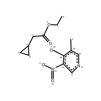 CCOC(=O)CC1CC1.Cc1cncc([N+](=O)[O-])c1Cl